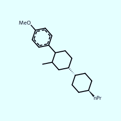 CCC[C@H]1CC[C@H](C2CCC(c3ccc(OC)cc3)C(C)C2)CC1